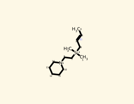 C/C=C/C[Si](C)(C)CCN1CCCCC1